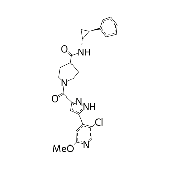 COc1cc(-c2cc(C(=O)N3CCC(C(=O)N[C@@H]4C[C@H]4c4ccccc4)CC3)n[nH]2)c(Cl)cn1